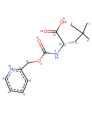 CC(C)(C)C[C@H](NC(=O)OCc1ccccn1)C(=O)O